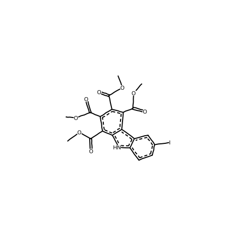 COC(=O)c1c(C(=O)OC)c(C(=O)OC)c2c([nH]c3ccc(I)cc32)c1C(=O)OC